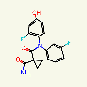 NC(=O)C1(C(=O)N(c2cccc(F)c2)c2ccc(O)cc2F)CC1